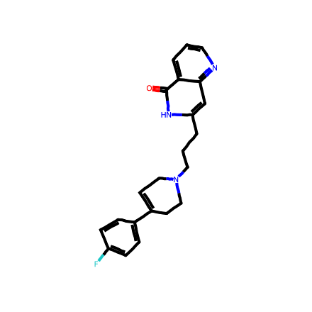 O=c1[nH]c(CCCN2CC=C(c3ccc(F)cc3)CC2)cc2ncccc12